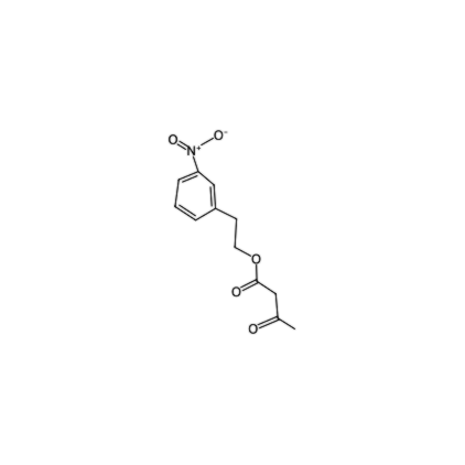 CC(=O)CC(=O)OCCc1cccc([N+](=O)[O-])c1